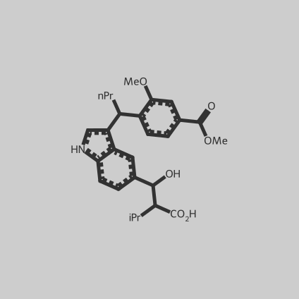 CCCC(c1ccc(C(=O)OC)cc1OC)c1c[nH]c2ccc(C(O)C(C(=O)O)C(C)C)cc12